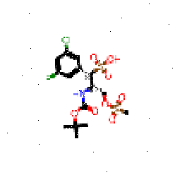 CC(C)(C)OC(=O)N[C@@H](COS(C)(=O)=O)[C@H](c1cc(F)cc(Cl)c1)S(=O)(=O)O